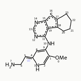 COC1=CN/C(=C\CN)C=C1Nc1ncnc2sc3c(c12)CCCC3